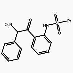 CC(C)S(=O)(=O)Nc1c[c]ccc1C(=O)C(c1ccccc1)[N+](=O)[O-]